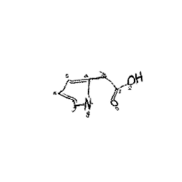 O=C(O)CC1=CC=C[N]1